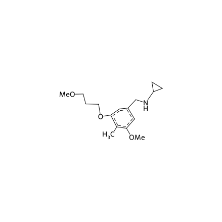 COCCCOc1cc(CNC2CC2)cc(OC)c1C